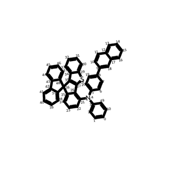 c1ccc(N(c2ccc(-c3ccc4ccccc4c3)cc2)c2cccc3c2-c2sc4ccccc4c2C32c3ccccc3-c3ccccc32)cc1